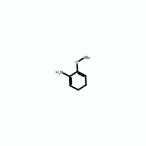 CC(C)(C)OC1=C[CH]CC=C1N